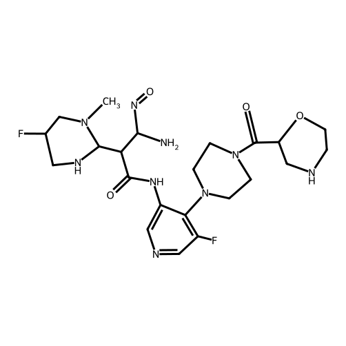 CN1CC(F)CNC1C(C(=O)Nc1cncc(F)c1N1CCN(C(=O)C2CNCCO2)CC1)C(N)N=O